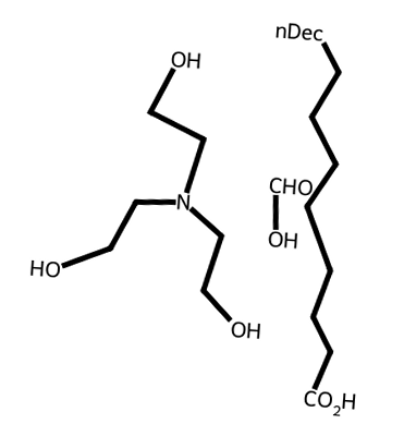 CCCCCCCCCCCCCCCCCC(=O)O.O=CO.OCCN(CCO)CCO